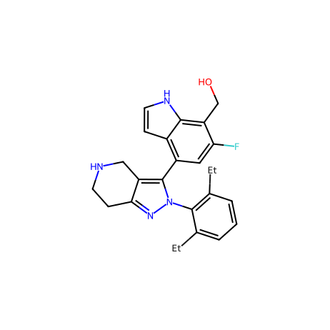 CCc1cccc(CC)c1-n1nc2c(c1-c1cc(F)c(CO)c3[nH]ccc13)CNCC2